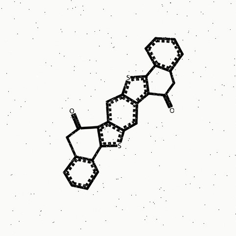 O=C1Cc2ccccc2-c2sc3cc4c5c(sc4cc3c21)-c1ccccc1CC5=O